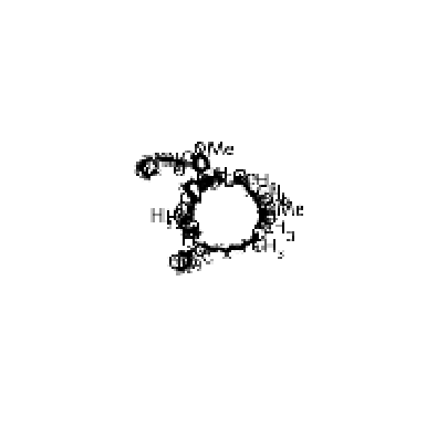 CO[C@@H]1C[C@H](CC2[C@H]3CCCN4C(=O)C(=O)[C@]5(O)O[C@@H](CC[C@H]5C)C[C@@H](OCC5COCCO5)/C(C)=C/C=C/C=C/[C@@H](C)C[C@@H](C)C(=O)[C@H](OC)[C@H](O)/C(C)=C/[C@@H](C)C(=O)C[C@@H]2OC(=O)C34)CC[C@H]1OC(=O)NCCN1CCOCC1